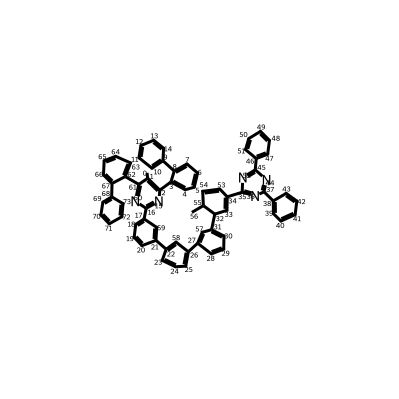 Cc1c(-c2ccccc2-c2ccccc2)nc(-c2cccc(-c3cccc(-c4cccc(C5C=C(c6nc(-c7ccccc7)nc(-c7ccccc7)n6)C=CC5C)c4)c3)c2)nc1-c1ccccc1-c1ccccc1